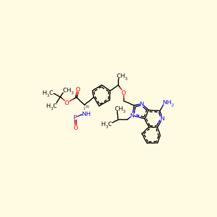 CC(C)Cn1c(COC(C)c2ccc([C@H](NP=O)C(=O)OC(C)(C)C)cc2)nc2c(N)nc3ccccc3c21